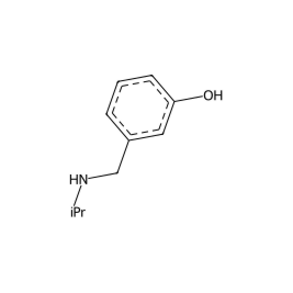 CC(C)NCc1cccc(O)c1